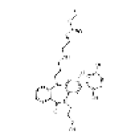 CCOC(=O)/C=C/CNCCCN1c2ccccc2C(=O)N(CCCO)c2ccc(Cl)cc21.O=C(O)/C=C\C(=O)O